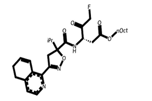 CCCCCCCCOC(=O)C[C@H](NC(=O)C1(C(C)C)CC(c2nccc3c2C=CCC3)=NO1)C(=O)CF